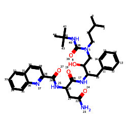 CC(C)CCN(CC(O)C(Cc1ccccc1)NC(=O)C(CC(N)=O)NC(=O)c1ccc2ccccc2n1)C(=O)NC(C)(C)C